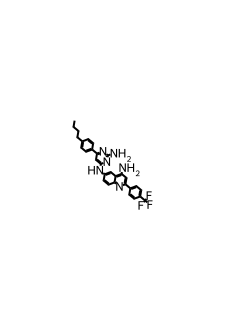 CCCCc1ccc(-c2cc(Nc3ccc4nc(-c5ccc(C(F)(F)F)cc5)cc(N)c4c3)nc(N)n2)cc1